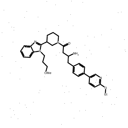 CCOc1ccc(-c2ccc(CC(N)CC(=O)N3CCCC(c4nc5ccccc5n4CCCOC)C3)cc2)cn1